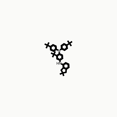 CC1(C)Cc2cccc(Nc3ccc(N(c4ccc(C(C)(C)C)cc4)c4ccc(C(C)(C)C)cc4)c(C(C)(C)C)c3)c2C1